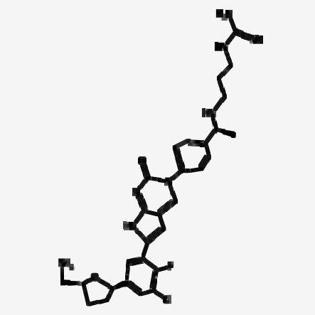 C[C@H](NCCCNC(=N)N)c1ccc(-n2cc3cc(-c4cc([C@H]5CC[C@@H](CN)O5)cc(Cl)c4F)[nH]c3nc2=O)cc1